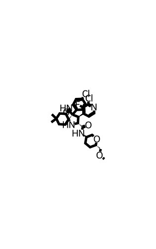 COC[C@@H]1CC[C@@H](NC(=O)[C@@H]2NC3(CCC(C)(C)CC3)[C@@]3(C(=O)Nc4cc(Cl)ccc43)[C@H]2c2ccnc(Cl)c2F)CO1